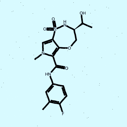 Cc1cc(NC(=O)c2c3c(cn2C)S(=O)(=O)N[C@@H](C(C)O)CO3)ccc1F